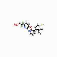 C=C/C(CC)=C(\C=C/CF)c1cccnc1Oc1ccc(C(F)(F)CO)nc1